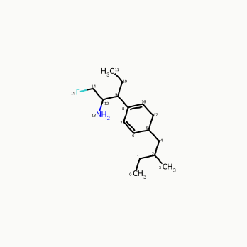 CCC(C)CC1C=CC(C(CC)C(N)CF)=CC1